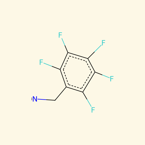 [N]Cc1c(F)c(F)c(F)c(F)c1F